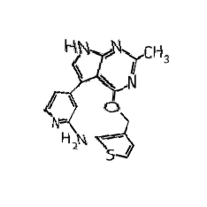 Cc1nc(OCc2ccsc2)c2c(-c3ccnc(N)c3)c[nH]c2n1